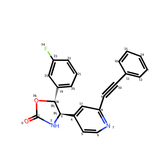 O=C1N[C@H](c2ccnc(C#Cc3ccccc3)c2)[C@@H](c2cccc(F)c2)O1